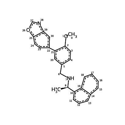 COc1ccc(CN[C@H](C)c2cccc3ccccc23)cc1-c1ccc2ocnc2c1